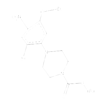 CCOc1cc(N2CCN(C(=O)OC(C)(C)C)CC2)c(Br)cc1[N+](=O)[O-]